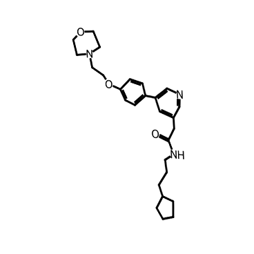 O=C(Cc1cncc(-c2ccc(OCCN3CCOCC3)cc2)c1)NCCCC1CCCC1